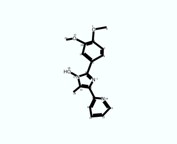 COc1ccc(-c2nc(-c3ccccn3)c(C)n2O)cc1OC